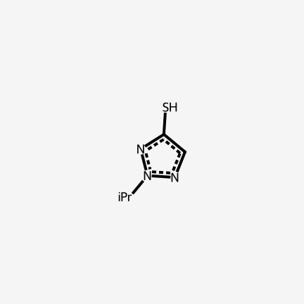 CC(C)n1ncc(S)n1